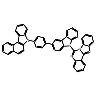 c1ccc2c(c1)ccc1c2c2ccccc2n1-c1ccc(-c2ccc3c(c2)c2ccccc2n3-c2nc3ccccc3c3nc4ccccc4n23)cc1